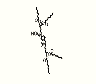 CCCCCCCC(=O)OCC(CCCCN(CC1CCC(N(CCO)CCCCC(COC(=O)CCCCCCC)COC(=O)CCCCCCC)CC1)C(C)C)COC(=O)CCCCCCC